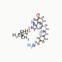 C[Si](C)(C)CCOCn1ccc2c1ncc1c(=O)ccn(C3CCN(Cc4ccc(CCN)cc4)CC3)c12